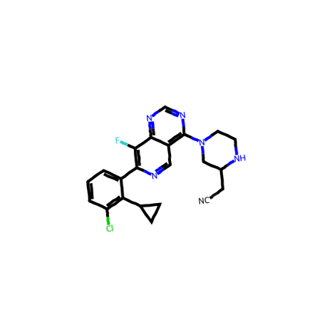 N#CCC1CN(c2ncnc3c(F)c(-c4cccc(Cl)c4C4CC4)ncc23)CCN1